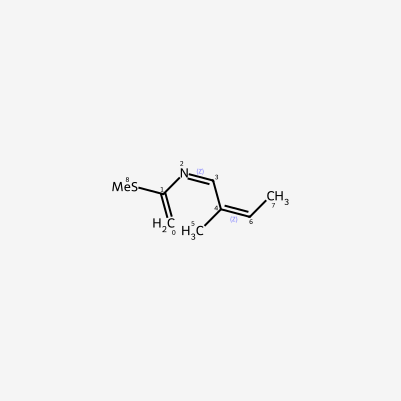 C=C(/N=C\C(C)=C/C)SC